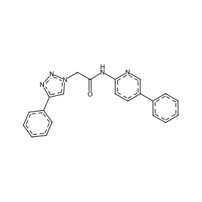 O=C(Cn1cc(-c2ccccc2)nn1)Nc1ccc(-c2ccccc2)cn1